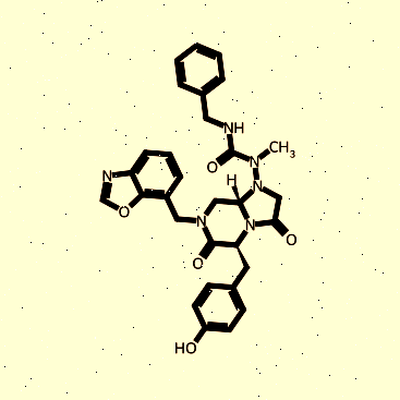 CN(C(=O)NCc1ccccc1)N1CC(=O)N2[C@@H](Cc3ccc(O)cc3)C(=O)N(Cc3cccc4ncoc34)C[C@@H]21